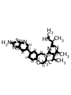 CN[C@@H](C)c1nc(C)c(C(C)C)c(N2CCOc3ccc(-c4cnc5sc(N)nc5c4)cc3C2)n1